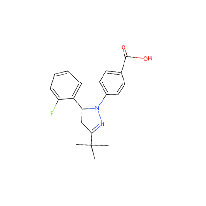 CC(C)(C)C1=NN(c2ccc(C(=O)O)cc2)C(c2ccccc2F)C1